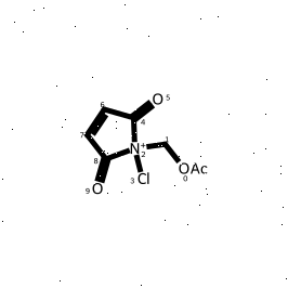 CC(=O)OC[N+]1(Cl)C(=O)C=CC1=O